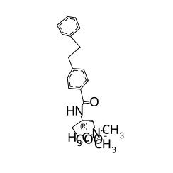 C[N+](C)(C)C[C@@H](CC(=O)[O-])NC(=O)c1ccc(CCc2ccccc2)cc1